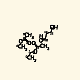 CCOC(C)=O.COC(C)=O.OCCCO